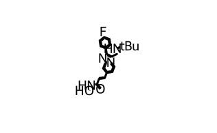 CC(C)(C)NCc1c(-c2ccc(F)cc2)nc2cc(C=CC(=O)NO)ccn12